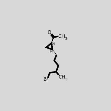 CC(=O)[C@@H]1C[C@H]1CCCC(C)CBr